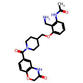 CC(=O)Nc1cccc(OCC2CCN(C(=O)c3ccc4c(c3)NC(=O)CO4)CC2)c1CN